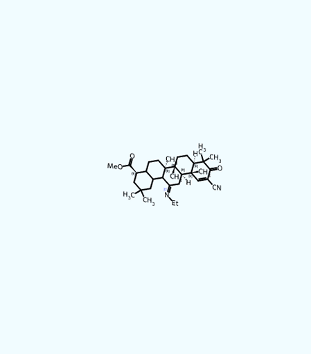 CC/N=C1\C[C@@H]2[C@@]3(C)C=C(C#N)C(=O)C(C)(C)[C@@H]3CC[C@@]2(C)[C@]2(C)CCC3C(CC(C)(C)C[C@H]3C(=O)OC)C12